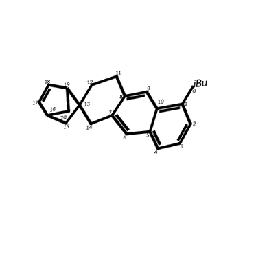 CCC(C)c1cccc2cc3c(cc12)CCC1(C3)CC2C=CC1C2